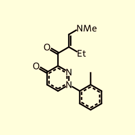 CC/C(=C\NC)C(=O)c1nn(-c2ccccc2C)ccc1=O